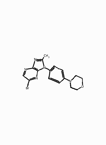 Cc1nc2ncc(Br)nc2n1-c1ccc(N2CCOCC2)cc1